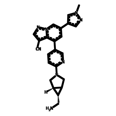 Cn1cc(-c2cc(-c3ccc(N4CC5[C@H](CN)[C@H]5C4)nc3)c3c(C#N)cnn3c2)cn1